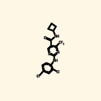 O=C(NC1CCC1)c1cnc(Nc2ccc(Cl)cc2Cl)nc1C(F)(F)F